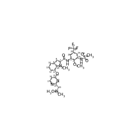 COc1c(NC(=O)c2cc3cccc(Oc4ccnc(CN(C)C)n4)c3n2C)cc(C(F)(F)F)cc1NS(C)(=O)=O